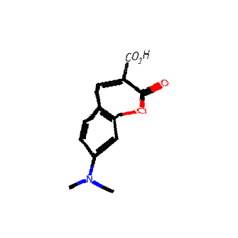 CN(C)c1ccc2cc(C(=O)O)c(=O)oc2c1